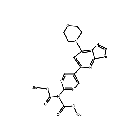 CC(C)(C)OC(=O)N(C(=O)OC(C)(C)C)c1ncc(-c2nc(N3CCOCC3)c3nc[nH]c3n2)cn1